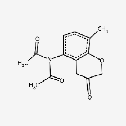 CC(=O)N(C(C)=O)c1ccc(C)c2c1CC(=O)CO2